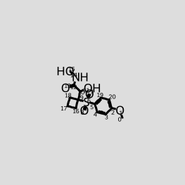 COc1ccc(S(=O)(=O)C2(C(O)C(=O)NO)CCC2)cc1